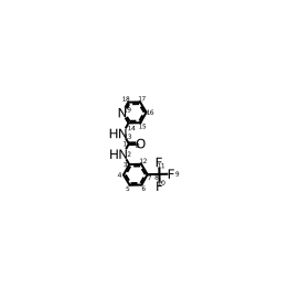 O=C(Nc1cccc(C(F)(F)F)c1)Nc1ccccn1